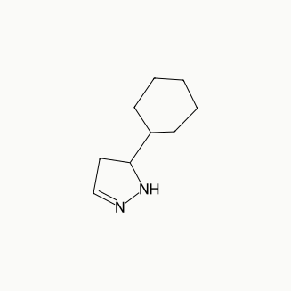 C1=NNC(C2CCCCC2)C1